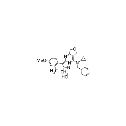 COc1ccc(-c2c(C)nn3c(N(Cc4ccccc4)C4CC4)c4c(nc23)COC4)c(C)c1.Cl